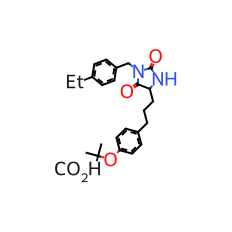 CCc1ccc(CN2C(=O)NC(CCCc3ccc(OC(C)(C)C(=O)O)cc3)C2=O)cc1